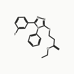 C=C(CCSc1nnc(-c2cccc(F)c2)n1-c1ccccc1)OCC